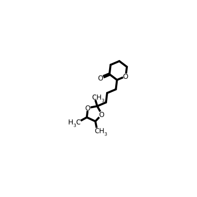 CC1OC(C)(CCCC2OCCCC2=O)OC1C